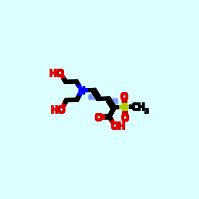 CS(=O)(=O)/C(=C/C=C/N(CCO)CCO)C(=O)O